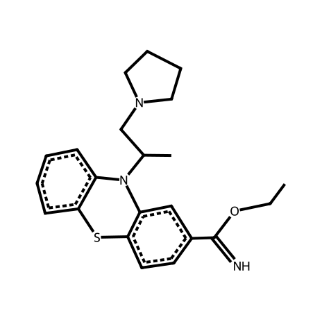 CCOC(=N)c1ccc2c(c1)N(C(C)CN1CCCC1)c1ccccc1S2